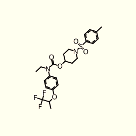 CCN(C(=O)OC1CCN(S(=O)(=O)c2ccc(C)cc2)CC1)c1ccc(OC(C)C(F)(F)F)cc1